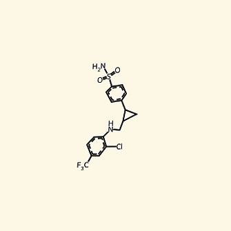 NS(=O)(=O)c1ccc(C2CC2CNc2ccc(C(F)(F)F)cc2Cl)cc1